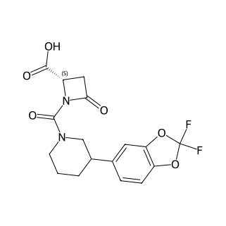 O=C(O)[C@@H]1CC(=O)N1C(=O)N1CCCC(c2ccc3c(c2)OC(F)(F)O3)C1